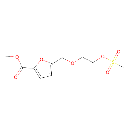 COC(=O)c1ccc(COCCOS(C)(=O)=O)o1